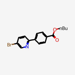 CCCCOC(=O)c1ccc(-c2ccc(Br)cn2)cc1